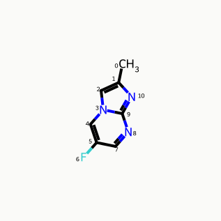 Cc1cn2cc(F)cnc2n1